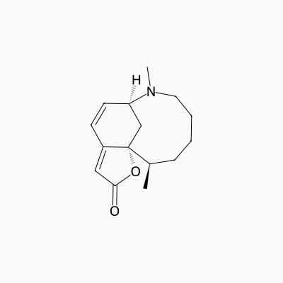 C[C@@H]1CCCCN(C)[C@@H]2C=CC3=CC(=O)O[C@@]31C2